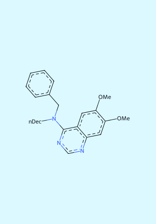 CCCCCCCCCCN(Cc1ccccc1)c1ncnc2cc(OC)c(OC)cc12